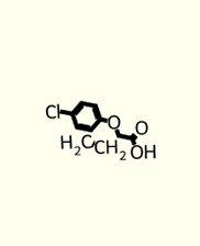 C=C.O=C(O)COc1ccc(Cl)cc1